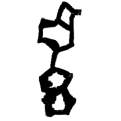 C1=C(c2cc3ncccc3o2)CC2NCC2C1